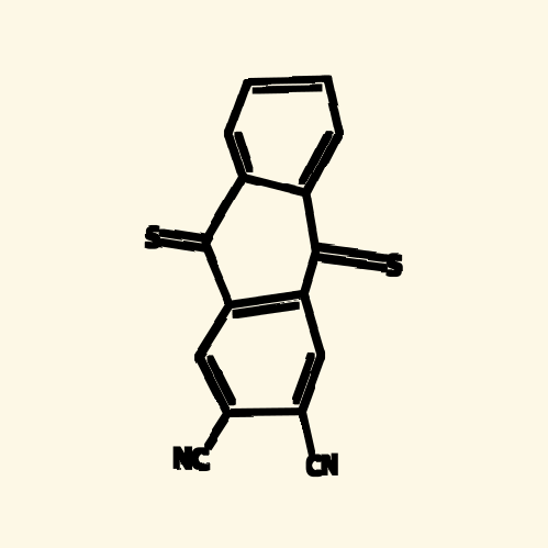 N#Cc1cc2c(cc1C#N)C(=S)c1ccccc1C2=S